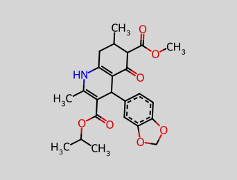 COC(=O)C1C(=O)C2=C(CC1C)NC(C)=C(C(=O)OC(C)C)C2c1ccc2c(c1)OCO2